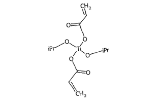 C=CC(=O)[O][Ti]([O]C(=O)C=C)([O]C(C)C)[O]C(C)C